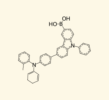 Cc1ccccc1N(C1=CCCC=C1)c1ccc(-c2ccc3c(c2)c2cc(B(O)O)ccc2n3-c2ccccc2)cc1